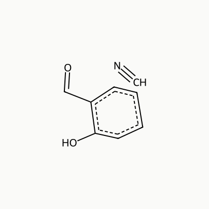 C#N.O=Cc1ccccc1O